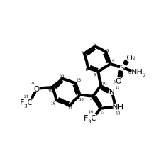 NS(=O)(=O)c1ccccc1-c1n[nH]c(C(F)(F)F)c1-c1ccc(OC(F)(F)F)cc1